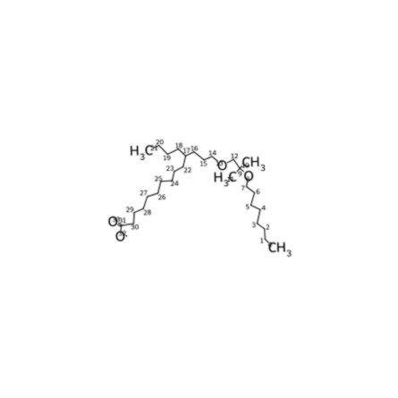 CCCCCCCCOC(C)(C)COCCCC(CCCC)CCCCCCCCCC([O])=O